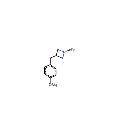 CCCN1CC(Cc2ccc(OC)cc2)C1